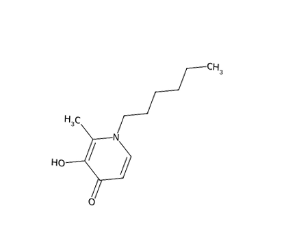 CCCCCCn1ccc(=O)c(O)c1C